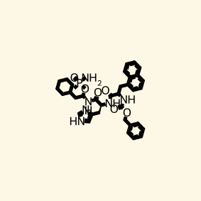 CP(N)(=O)OC(CC1CCCCC1)NC(=O)[C@H](Cc1c[nH]cn1)NC(=O)C(Cc1cccc2ccccc12)NC(=O)OCc1ccccc1